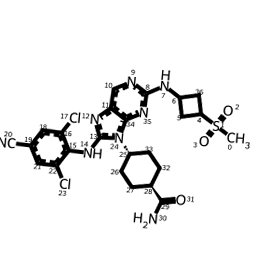 CS(=O)(=O)C1CC(Nc2ncc3nc(Nc4c(Cl)cc(C#N)cc4Cl)n([C@H]4CC[C@H](C(N)=O)CC4)c3n2)C1